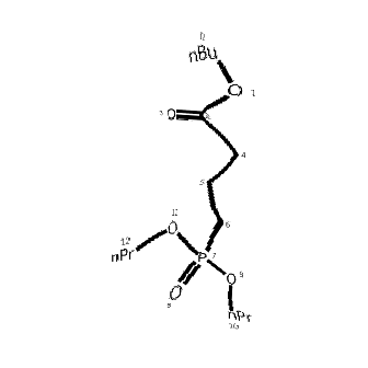 CCCCOC(=O)CCCP(=O)(OCCC)OCCC